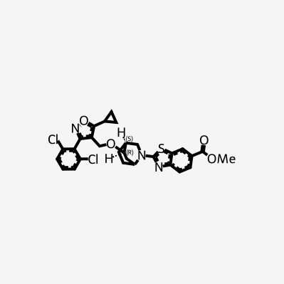 COC(=O)c1ccc2nc(N3C[C@@H]4CCC3C[C@H]4OCc3c(-c4c(Cl)cccc4Cl)noc3C3CC3)sc2c1